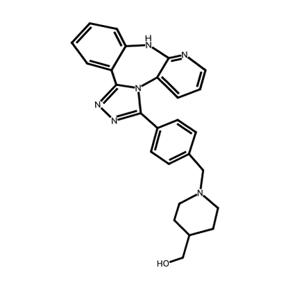 OCC1CCN(Cc2ccc(-c3nnc4n3-c3cccnc3Nc3ccccc3-4)cc2)CC1